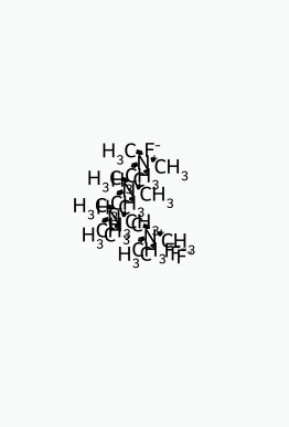 CC[N+](CC)(CC)CC.CC[N+](CC)(CC)CC.CC[N+](CC)(CC)CC.CC[N+](CC)(CC)CC.[F-].[F-].[F-].[F-]